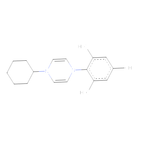 Cc1cc(C)c(N2C=CN(C3CCCCC3)C=C2)c(C)c1